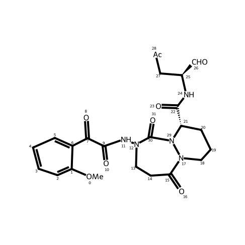 COc1ccccc1C(=O)C(=O)NN1CCC(=O)N2CCC[C@@H](C(=O)N[C@H](C=O)CC(C)=O)N2C1=O